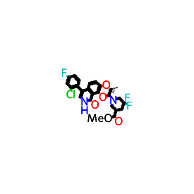 COC(=O)C1CN(C(=O)[C@@H](C)Oc2ccc3c(-c4ccc(F)cc4Cl)c[nH]c(=O)c3c2)CC(F)(F)C1